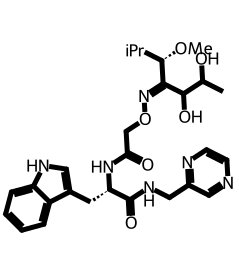 CO[C@H](/C(=N/OCC(=O)N[C@@H](Cc1c[nH]c2ccccc12)C(=O)NCc1cnccn1)C(O)C(C)O)C(C)C